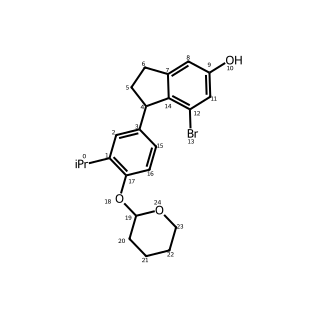 CC(C)c1cc(C2CCc3cc(O)cc(Br)c32)ccc1OC1CCCCO1